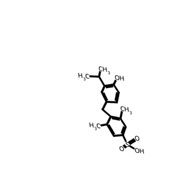 Cc1cc(S(=O)(=O)O)cc(C)c1Cc1ccc(O)c(C(C)C)c1